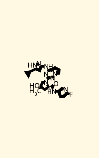 C[C@]1(O)C[C@@H](C(=O)Nc2ccc(F)nc2)N(c2nc(Nc3cc(C4CC4)[nH]n3)c3cccn3n2)C1